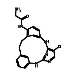 NCC(=O)Nc1ccc2cc1CCc1cccc(c1)Nc1ncc(Cl)c(n1)N2